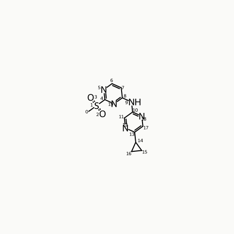 CS(=O)(=O)c1nccc(Nc2cnc(C3CC3)cn2)n1